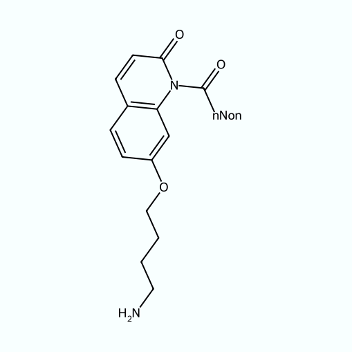 CCCCCCCCCC(=O)n1c(=O)ccc2ccc(OCCCCN)cc21